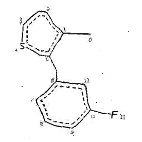 Cc1c[c]sc1-c1cccc(F)c1